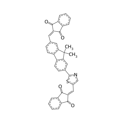 CC1(C)c2cc(C=C3C(=O)c4ccccc4C3=O)ccc2-c2ccc(-c3ncc(C=C4C(=O)c5ccccc5C4=O)s3)cc21